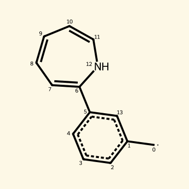 [CH2]c1cccc(C2=CC=CC=CN2)c1